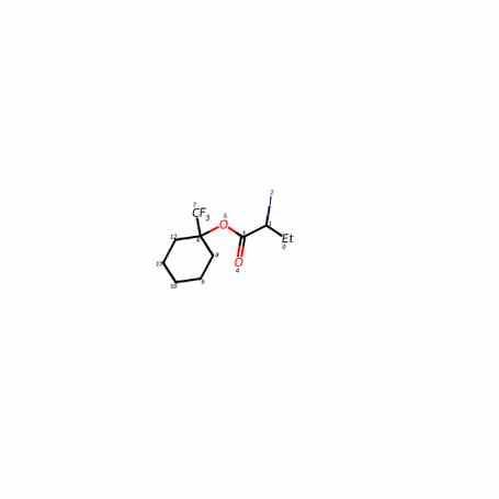 CCC(I)C(=O)OC1(C(F)(F)F)CCCCC1